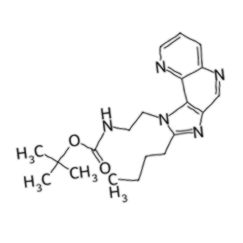 CCCCc1nc2cnc3cccnc3c2n1CCNC(=O)OC(C)(C)C